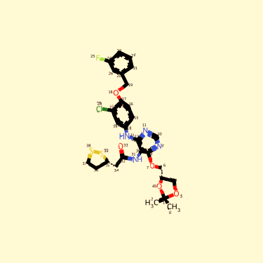 CC1(C)OC[C@@H](COc2ncnc(Nc3ccc(OCc4cccc(F)c4)c(Cl)c3)c2NC(=O)C[C@@H]2CCSS2)O1